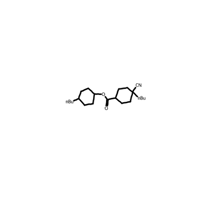 CCCCC1CCC(OC(=O)C2CCC(C#N)(CCCC)CC2)CC1